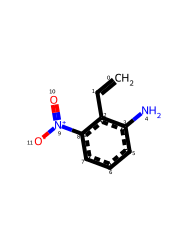 C=Cc1c(N)cccc1[N+](=O)[O-]